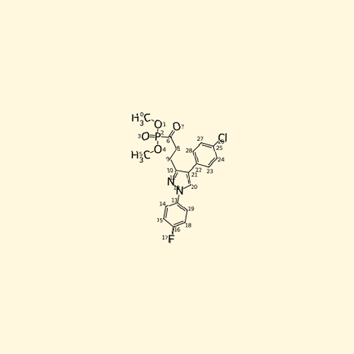 COP(=O)(OC)C(=O)CCc1nn(-c2ccc(F)cc2)cc1-c1ccc(Cl)cc1